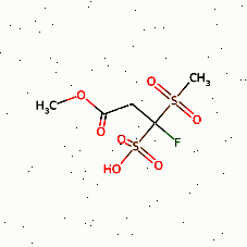 COC(=O)CC(F)(S(C)(=O)=O)S(=O)(=O)O